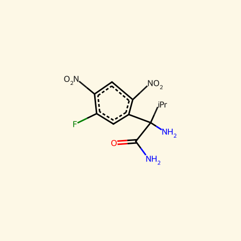 CC(C)C(N)(C(N)=O)c1cc(F)c([N+](=O)[O-])cc1[N+](=O)[O-]